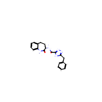 CN1C(=O)[C@H](NC(=O)c2nnc(Cc3ccccc3)[nH]2)CCc2ccccc21